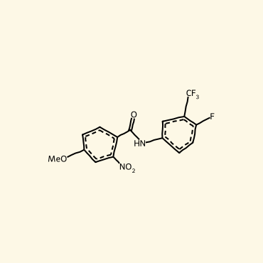 COc1ccc(C(=O)Nc2ccc(F)c(C(F)(F)F)c2)c([N+](=O)[O-])c1